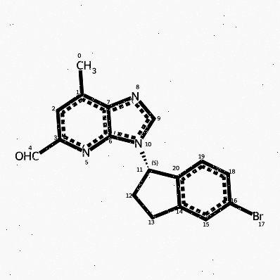 Cc1cc(C=O)nc2c1ncn2[C@H]1CCc2cc(Br)ccc21